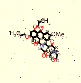 C=CCOc1cc(OCC=C)c(C(=O)c2ccc(OCCN3CCOCC3)c(OC)c2)c(CC(=O)N(CCO)CCOC)c1CC